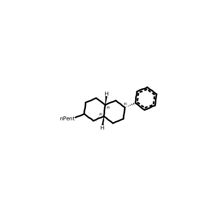 CCCCCC1CC[C@@H]2C[C@H](c3ccccc3)CC[C@@H]2C1